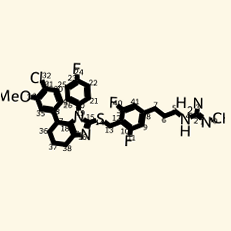 C/N=C(\N)NCCCc1cc(F)c(CSc2nc3c(n2-c2ccc(F)cc2)C(c2ccc(Cl)c(OC)c2)CCC3)c(F)c1